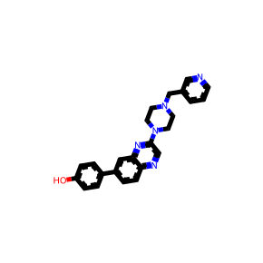 Oc1ccc(-c2ccc3ncc(N4CCN(Cc5cccnc5)CC4)nc3c2)cc1